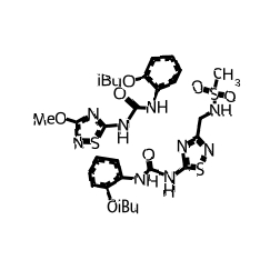 CC(C)COc1ccccc1NC(=O)Nc1nc(CNS(C)(=O)=O)ns1.COc1nsc(NC(=O)Nc2ccccc2OCC(C)C)n1